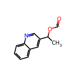 CC(O[C]=O)c1cnc2ccccc2c1